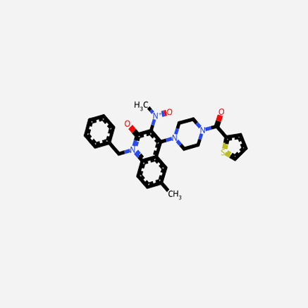 Cc1ccc2c(c1)c(N1CCN(C(=O)c3cccs3)CC1)c([N+](C)=O)c(=O)n2Cc1ccccc1